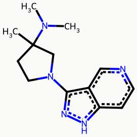 CN(C)C1(C)CCN(c2n[nH]c3ccncc23)C1